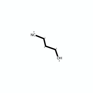 N#C[CH]CCO